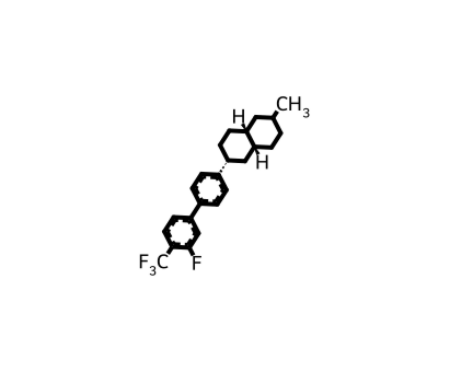 CC1CC[C@@H]2C[C@H](c3ccc(-c4ccc(C(F)(F)F)c(F)c4)cc3)CC[C@@H]2C1